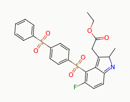 CCOC(=O)CC1=c2c(S(=O)(=O)c3ccc(S(=O)(=O)c4ccccc4)cc3)c(F)ccc2=NC1C